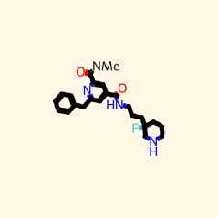 CNC(=O)c1cc(C(=O)NCCCC2(F)CCCNC2)cc(Cc2ccccc2)n1